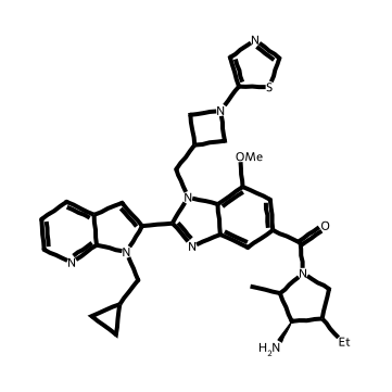 CCC1CN(C(=O)c2cc(OC)c3c(c2)nc(-c2cc4cccnc4n2CC2CC2)n3CC2CN(c3cncs3)C2)C(C)[C@@H]1N